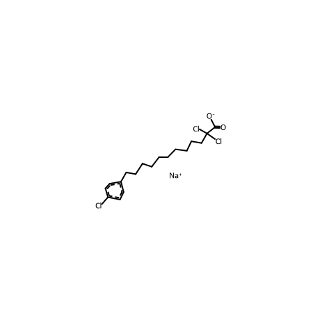 O=C([O-])C(Cl)(Cl)CCCCCCCCCCc1ccc(Cl)cc1.[Na+]